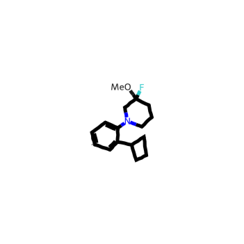 COC1(F)CCCN(c2cc[c]cc2C2CCC2)C1